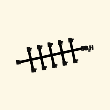 O=S(=O)(O)C(Br)(Br)C(Br)(Br)C(Br)(Br)C(Br)(Br)C(Br)(Br)Br